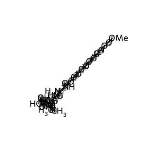 COCCOCCOCCOCCOCCOCCOCCOCCOCCOCCOCCOCCC(=O)NCCCC[C@H](N)C(=O)NCCC(=O)Nc1cc(CN(C)C)ccc1O[C@H]1O[C@H](CO)[C@@H](O)[C@H](O)[C@@H]1O